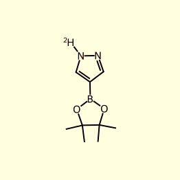 [2H]n1cc(B2OC(C)(C)C(C)(C)O2)cn1